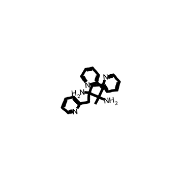 CC(N)(Cc1ccccn1)C(N)(Cc1ccccn1)Cc1ccccn1